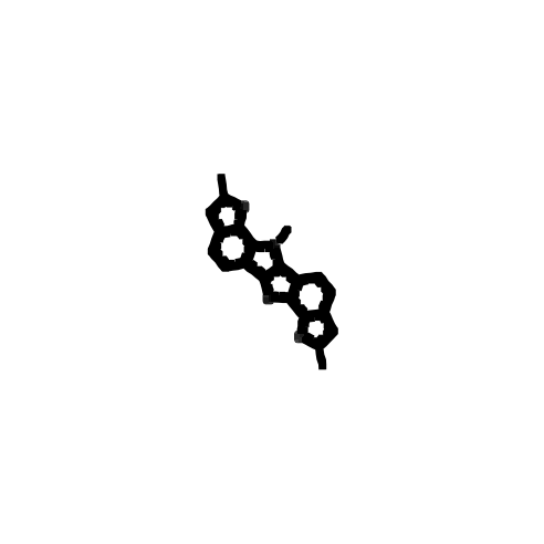 Cc1cc2ccc3c(oc4c5ccc6cc(C)oc6c5n(C)c34)c2o1